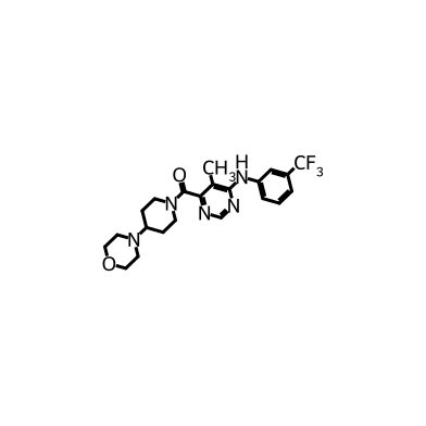 Cc1c(Nc2cccc(C(F)(F)F)c2)ncnc1C(=O)N1CCC(N2CCOCC2)CC1